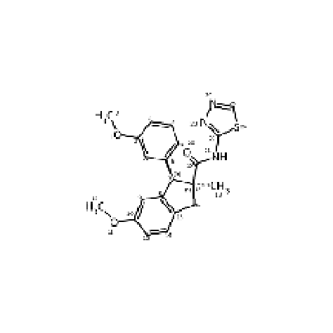 COc1cccc([C@@H]2c3cc(OC)ccc3C[C@]2(C)C(=O)Nc2nncs2)c1